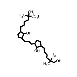 CC(C)(CO)CCCCC1CCC(CCCC2CCC(CCCCC(C)(C)C(=O)O)C2O)C1O